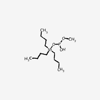 CCC[CH2][Sn]([CH2]CCC)([CH2]CCC)[O]P(O)OC